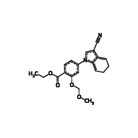 CCOC(=O)c1ccc(-n2cc(C#N)c3c2=CCCC=3)cc1OCOC